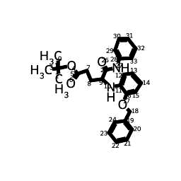 CC(C)(C)OC(=O)CCC(Nc1ccccc1OCc1ccccc1)C(=O)Nc1ccccc1